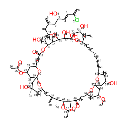 C=C(Cl)/C=C/[C@@H](O)CC(=C)C[C@H]1O[C@@H]2[C@H](C)[C@@H](OC(=O)C[C@H]3C[C@H](OC(C)=O)C[C@@]4(C[C@](C)(O)C[C@H](CC(=C)[C@@H](C)[C@H](OC(C)=O)[C@H](C)C(=O)C[C@@H]5C[C@H](OC)C[C@@]6(C[C@@H](O)C[C@H](/C=C\CCC[C@H]7O[C@@](O)(C[C@H](O)[C@H]7C)[C@@H]2O)O6)O5)O4)O3)[C@@H]1O